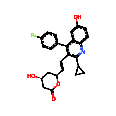 O=C1C[C@H](O)C[C@@H](/C=C/c2c(C3CC3)nc3ccc(O)cc3c2-c2ccc(F)cc2)O1